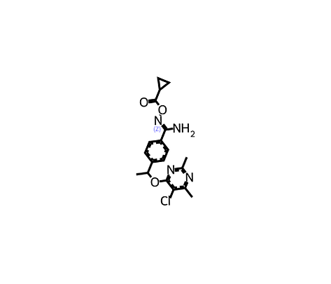 Cc1nc(C)c(Cl)c(OC(C)c2ccc(/C(N)=N/OC(=O)C3CC3)cc2)n1